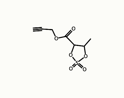 C#CCOC(=O)C1OS(=O)(=O)OC1C